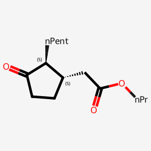 CCCCC[C@@H]1C(=O)CC[C@H]1CC(=O)OCCC